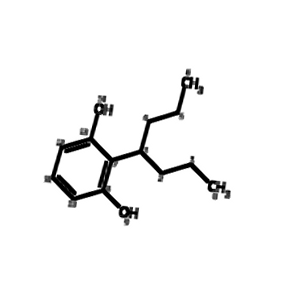 CCCC(CCC)c1c(O)cccc1O